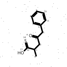 CC(CC(=O)Cc1ccccc1)C(O)=S